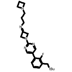 CC(C)(C)Cc1cccc(-c2cnc(N3CC(=NCCCN4CCC4)C3)nc2)c1F